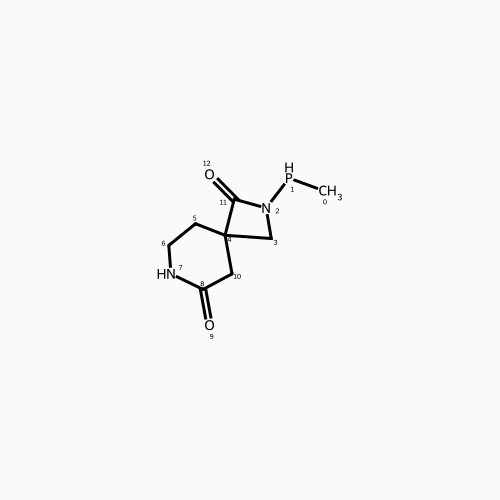 CPN1CC2(CCNC(=O)C2)C1=O